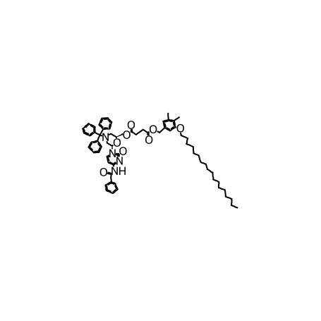 CCCCCCCCCCCCCCCCCCOc1cc(COC(=O)CCC(=O)OC[C@@H]2CN(C(c3ccccc3)(c3ccccc3)c3ccccc3)C[C@H](n3ccc(NC(=O)c4ccccc4)nc3=O)O2)cc(C)c1C